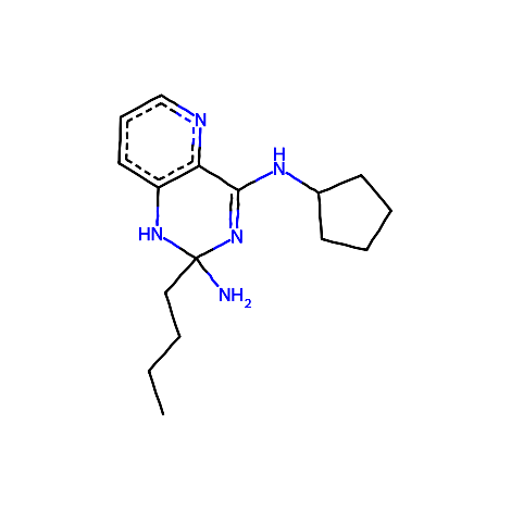 CCCCC1(N)N=C(NC2CCCC2)c2ncccc2N1